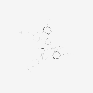 CCO[C@H]1CC[C@H](N2C[C@@H](c3ccc(OC)cc3)[C@](OC)(C(=O)N3C[C@H](c4ccc(C(F)(F)F)cc4C4CC(C(=O)O)CCN4)C[C@H]3COC)C2)CC1